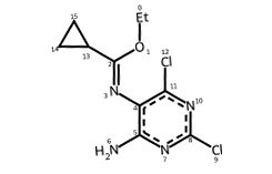 CCOC(=Nc1c(N)nc(Cl)nc1Cl)C1CC1